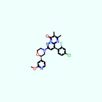 COc1cc([C@@H]2CN(c3cc(-c4ccc(Cl)cc4F)c4nc(C)c(C)c(=O)n4n3)CCO2)ccn1